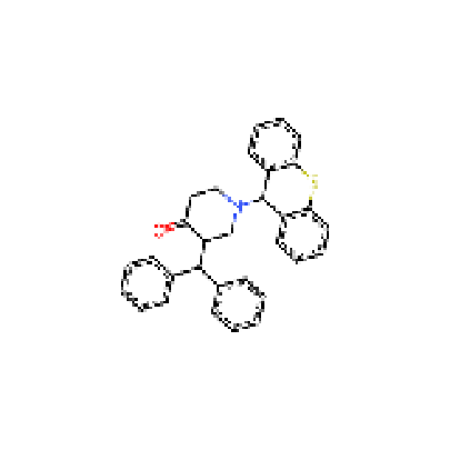 O=C1CCN(C2c3ccccc3Sc3ccccc32)CC1C(c1ccccc1)c1ccccc1